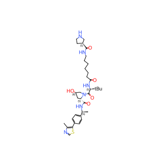 Cc1ncsc1-c1ccc([C@H](C)NC(=O)[C@@H]2C[C@@H](O)CN2C(=O)[C@@H](NC(=O)CCCCCCNC(=O)[C@H]2CCNC2)C(C)(C)C)cc1